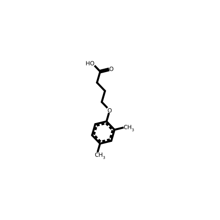 Cc1ccc(OCCCC(=O)O)c(C)c1